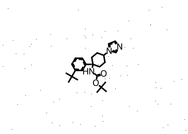 CC(C)(C)OC(=O)NC1(c2cccc(C(C)(C)C)c2)CCC(n2ccnc2)CC1